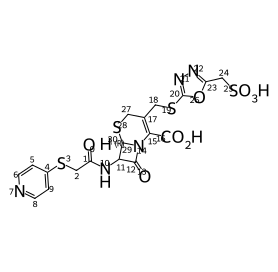 O=C(CSc1ccncc1)NC1C(=O)N2C(C(=O)O)=C(CSc3nnc(CS(=O)(=O)O)o3)CS[C@H]12